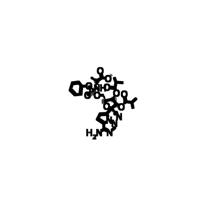 COC(=O)[C@H](C)N[P@](=O)(OC[C@H]1O[C@@](C#N)(c2ccc3c(N)ncnn23)[C@H](OC(=O)C(C)C)[C@@H]1OC(=O)C(C)C)Oc1ccccc1